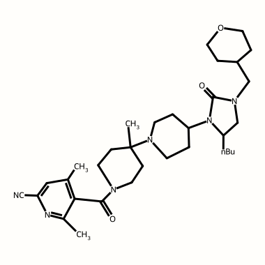 CCCCC1CN(CC2CCOCC2)C(=O)N1C1CCN(C2(C)CCN(C(=O)c3c(C)cc(C#N)nc3C)CC2)CC1